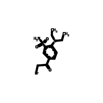 CCN(CC)c1ccc(C(=O)CBr)cc1S(N)(=O)=O